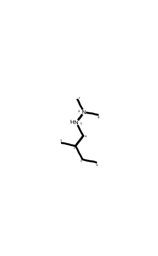 CCC(C)CNN(C)C